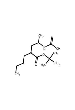 CCCCN(CC(C)NC(=O)O)C(=O)OC(C)(C)C